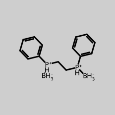 [BH3-][PH+](CC[PH+]([BH3-])c1ccccc1)c1ccccc1